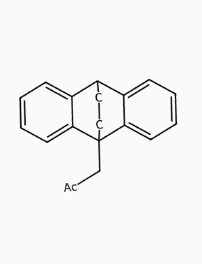 CC(=O)CC12CCC(c3ccccc31)c1ccccc12